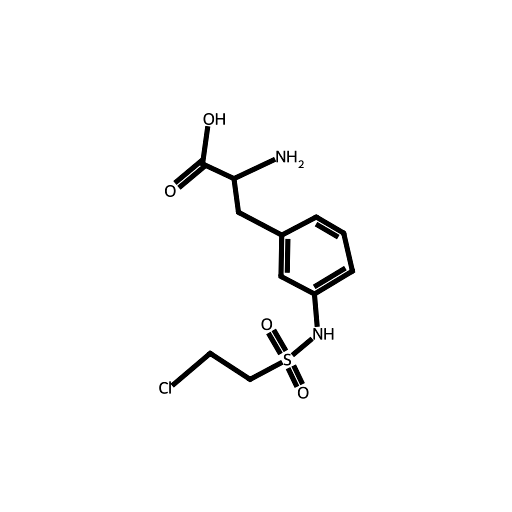 NC(Cc1cccc(NS(=O)(=O)CCCl)c1)C(=O)O